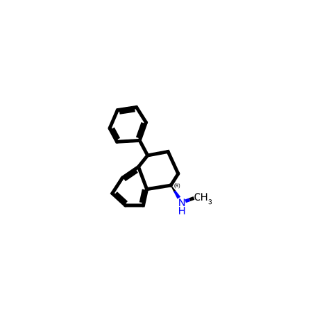 CN[C@@H]1CCC(c2ccccc2)c2ccccc21